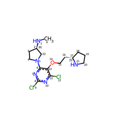 CN[C@@H]1CCN(c2nc(Cl)nc(Cl)c2OCC[C@@H]2CCCN2)C1